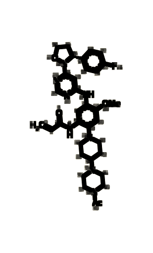 C=CC(=O)Nc1cc(Nc2cc(N3OCC[C@@H]3c3ccc(F)cc3)ncn2)c(OC)cc1N1CCC(N2CCN(C(C)=O)CC2)CC1